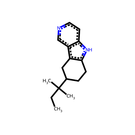 CCC(C)(C)C1CCc2[nH]c3ccncc3c2C1